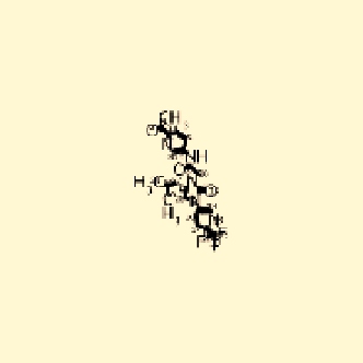 CC(=O)c1ccc(NC(=O)CN2C(=O)N(c3ccc(C(F)(F)F)nc3)C[C@@H]2CC(C)C)cn1